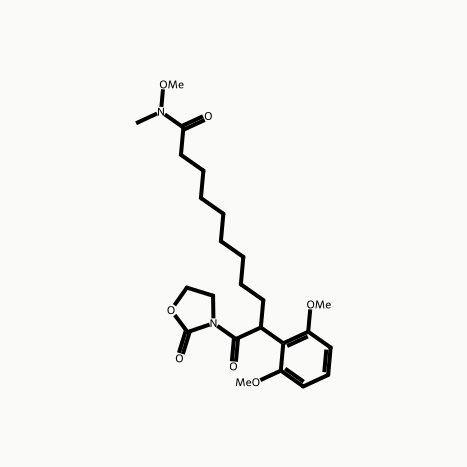 COc1cccc(OC)c1C(CCCCCCCCC(=O)N(C)OC)C(=O)N1CCOC1=O